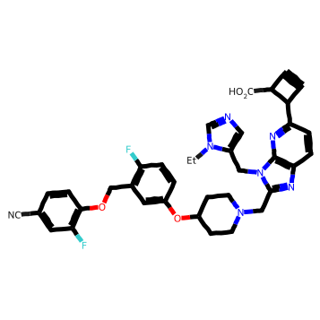 CCn1cncc1Cn1c(CN2CCC(Oc3ccc(F)c(COc4ccc(C#N)cc4F)c3)CC2)nc2ccc(C3C#CC3C(=O)O)nc21